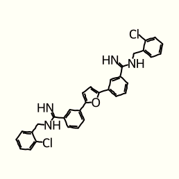 N=C(NCc1ccccc1Cl)c1cccc(-c2ccc(-c3cccc(C(=N)NCc4ccccc4Cl)c3)o2)c1